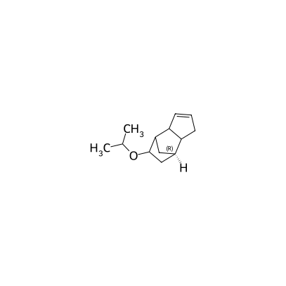 CC(C)OC1C[C@H]2CC1C1C=CCC12